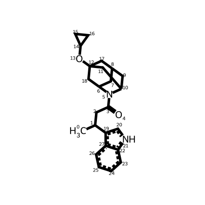 CC(CC(=O)N1C2CC3CC1CC(OC1CC1)(C3)C2)c1c[nH]c2ccccc12